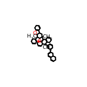 CC1(C2=C3CCC=CC3C(C)(C3=CC(C4=CC=C5C=CCCC5C4)CC=C3)C3=C2C=CCC3)CC2C3=C(CCC=C3)OC2(C)C2C3=C(C=CCC3)OC21